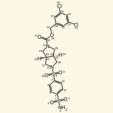 NS(=O)(=O)c1ccc(S(=O)(=O)N2C[C@@H]3CN(C(=O)OCc4cc(Cl)cc(Cl)c4)C[C@H]3C2)cc1